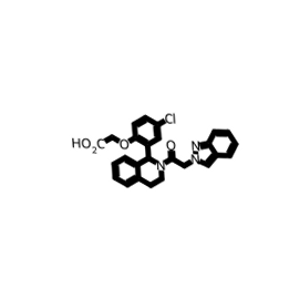 O=C(O)COc1ccc(Cl)cc1C1c2ccccc2CCN1C(=O)Cn1cc2ccccc2n1